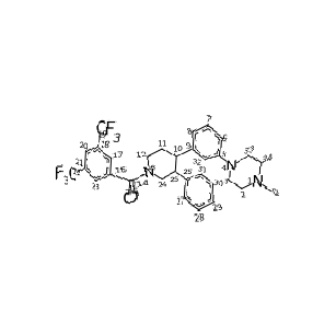 CN1CCN(c2cccc(C3CCN(C(=O)c4cc(C(F)(F)F)cc(C(F)(F)F)c4)CC3c3ccccc3)c2)CC1